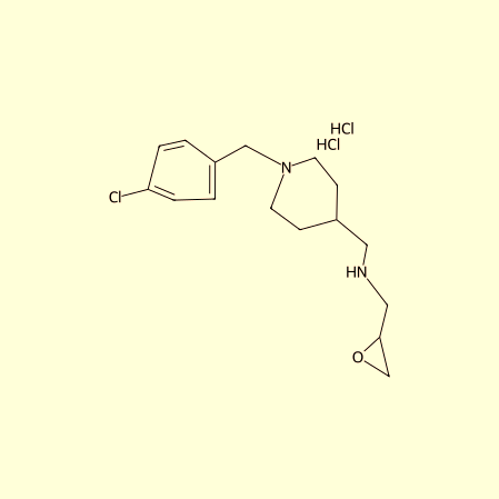 Cl.Cl.Clc1ccc(CN2CCC(CNCC3CO3)CC2)cc1